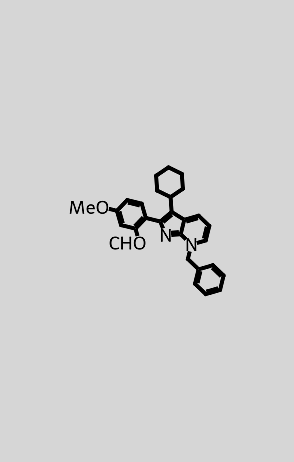 COc1ccc(-c2nc3n(Cc4ccccc4)cccc-3c2C2CCCCC2)c(C=O)c1